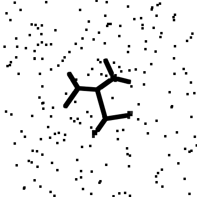 CC(C)C(C(F)F)N(C)C